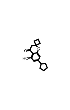 O=C1CC2(CCC2)Oc2cc(C3CCCC3)cc(O)c21